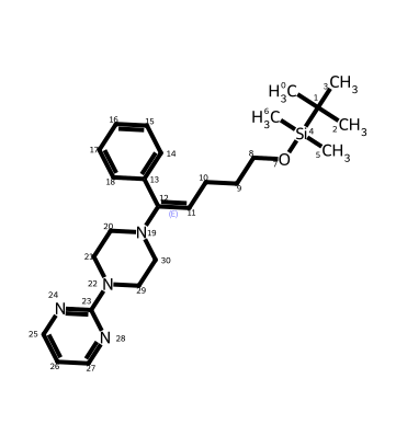 CC(C)(C)[Si](C)(C)OCCC/C=C(\c1ccccc1)N1CCN(c2ncccn2)CC1